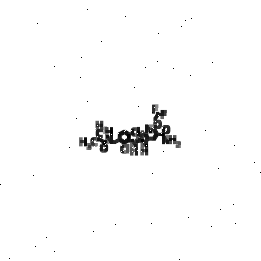 CC(C)C(=O)NCc1ccc(Cl)c(Nc2nc3nc(OCC(F)F)c(C(N)=O)cc3[nH]2)c1Cl